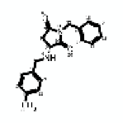 Cc1ccc(CN[C@@H]2CC(=O)N(Cc3ccccc3)C2=O)cc1